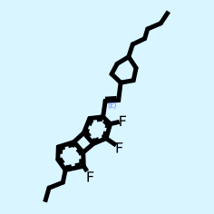 CCCCCC1CCC(/C=C/c2cc3c(c(F)c2F)-c2c-3ccc(CCC)c2F)CC1